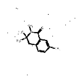 Cc1ccc2c(c1)C(=O)N(C)C(C)(C)C2